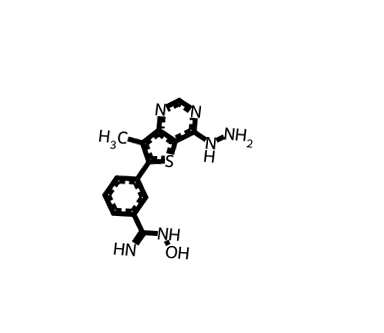 Cc1c(-c2cccc(C(=N)NO)c2)sc2c(NN)ncnc12